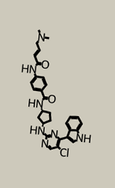 CN(C)C/C=C/C(=O)Nc1ccc(C(=O)N[C@H]2CC[C@@H](Nc3ncc(Cl)c(-c4c[nH]c5ccccc45)n3)C2)cc1